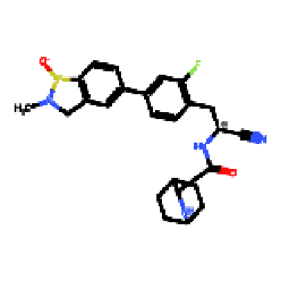 CN1Cc2cc(-c3ccc(C[C@@H](C#N)NC(=O)C4NC5CCC4CC5)c(F)c3)ccc2[S+]1[O-]